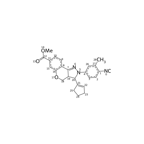 [C-]#[N+]c1ccc(N2N=C3c4ccc(C(=O)OC)cc4OCC3C2C2=CCCC2)cc1C